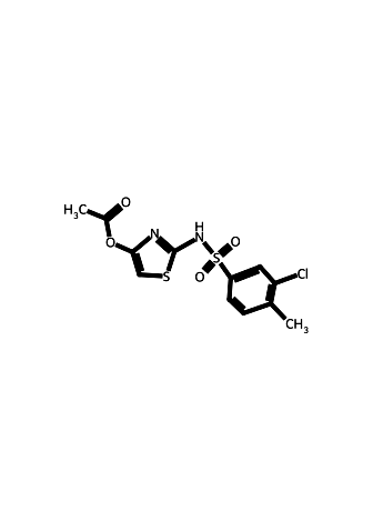 CC(=O)Oc1csc(NS(=O)(=O)c2ccc(C)c(Cl)c2)n1